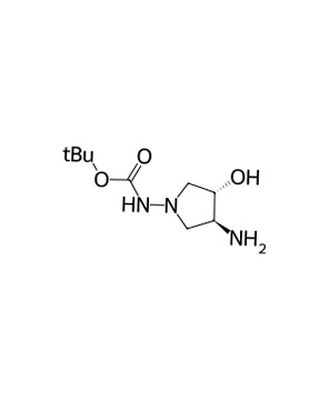 CC(C)(C)OC(=O)NN1C[C@H](N)[C@@H](O)C1